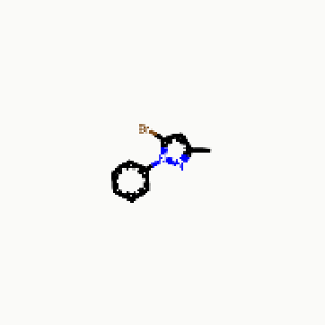 Cc1cc(Br)n(-c2ccccc2)n1